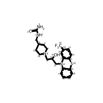 NC(=O)NCC1CCN(CC(O)CN2c3ccccc3Sc3ccc(C(F)(F)F)cc32)CC1